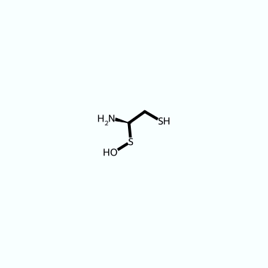 N[C@@H](CS)SO